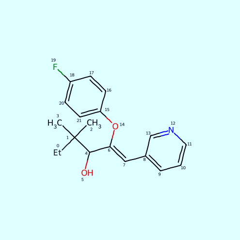 CCC(C)(C)C(O)C(=Cc1cccnc1)Oc1ccc(F)cc1